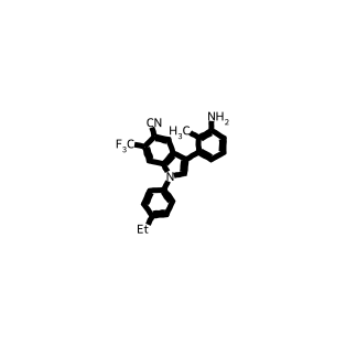 CCc1ccc(-n2cc(-c3cccc(N)c3C)c3cc(C#N)c(C(F)(F)F)cc32)cc1